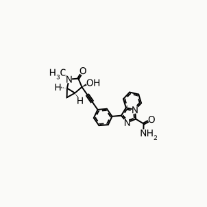 CN1C(=O)[C@](O)(C#Cc2cccc(-c3nc(C(N)=O)n4ccccc34)c2)[C@H]2C[C@H]21